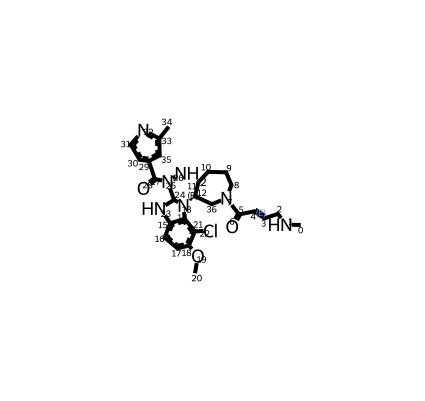 CNC/C=C/C(=O)N1CCCC[C@@H](N2c3c(ccc(OC)c3Cl)NC2N(N)C(=O)c2ccnc(C)c2)C1